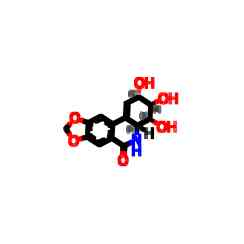 O=C1N[C@@H]2C(=C[C@H](O)[C@@H](O)[C@H]2O)c2cc3c(cc21)OCO3